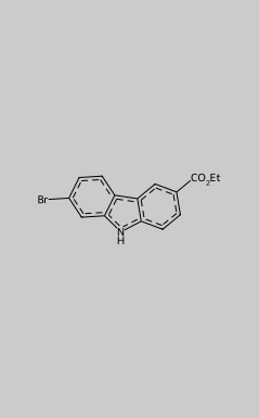 CCOC(=O)c1ccc2[nH]c3cc(Br)ccc3c2c1